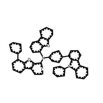 c1ccc(-c2cccc3c2oc2c(N(c4ccc(-c5cccc6c7ccccc7n(-c7ccccc7)c56)cc4)c4cccc5c4oc4ccccc45)cccc23)cc1